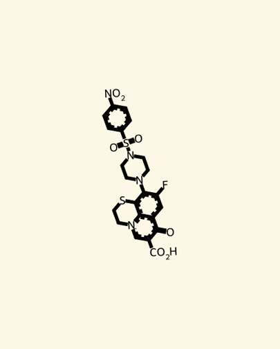 O=C(O)c1cn2c3c(c(N4CCN(S(=O)(=O)c5ccc([N+](=O)[O-])cc5)CC4)c(F)cc3c1=O)SCC2